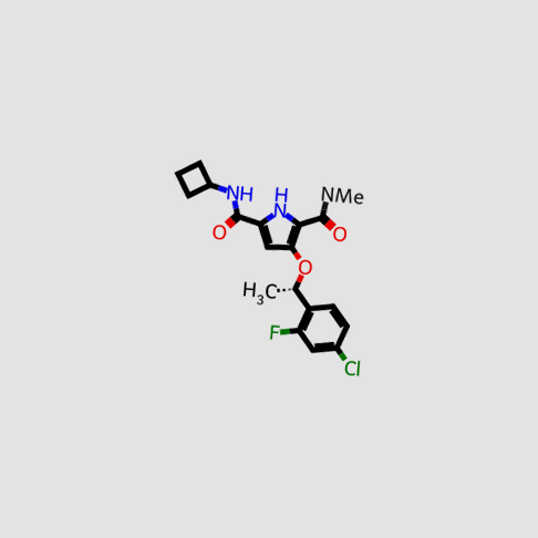 CNC(=O)c1[nH]c(C(=O)NC2CCC2)cc1O[C@@H](C)c1ccc(Cl)cc1F